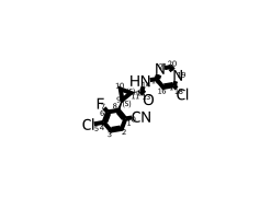 N#Cc1ccc(Cl)c(F)c1[C@H]1C[C@@H]1C(=O)Nc1cc(Cl)ncn1